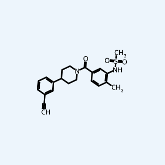 C#Cc1cccc(C2CCN(C(=O)c3ccc(C)c(NS(C)(=O)=O)c3)CC2)c1